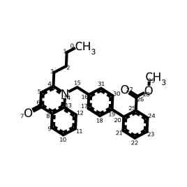 CCCCc1cc(=O)c2ccccc2n1Cc1ccc(-c2ccccc2C(=O)OC)cc1